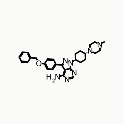 CN1CCN([C@H]2CC[C@H](n3nc(-c4ccc(OCc5ccccc5)cc4)c4c(N)ncnc43)CC2)CC1